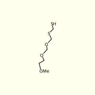 COCCOCOCSCS